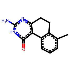 Cc1cccc2c1CCc1nc(N)[nH]c(=O)c1-2